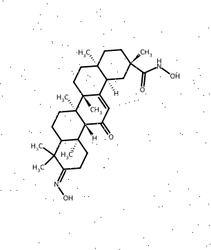 CC1(C)C(=NO)CC[C@@]2(C)C1CC[C@]1(C)[C@@H]2C(=O)C=C2[C@@H]3C[C@@](C)(C(=O)NO)CC[C@]3(C)CC[C@]21C